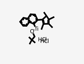 CC1=C(C)C(C)C(c2ccc3ccccc3[c]2[Ti][O]CC(C)(C)C)=C1C.Cl.Cl